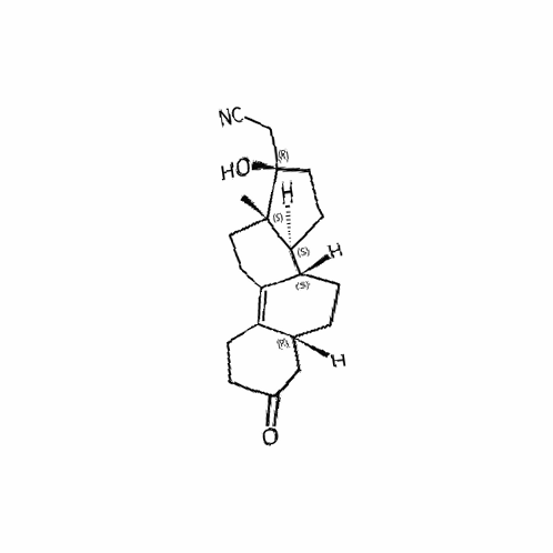 C[C@]12CCC3=C4CCC(=O)C[C@H]4CC[C@H]3[C@@H]1CC[C@@]2(O)CC#N